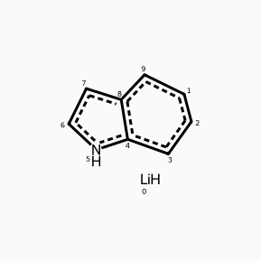 [LiH].c1ccc2[nH]ccc2c1